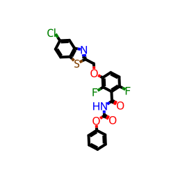 O=C(NC(=O)c1c(F)ccc(OCc2nc3cc(Cl)ccc3s2)c1F)Oc1ccccc1